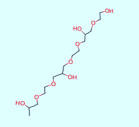 CC(O)COCCOCC(O)COCCOCC(O)COCCO